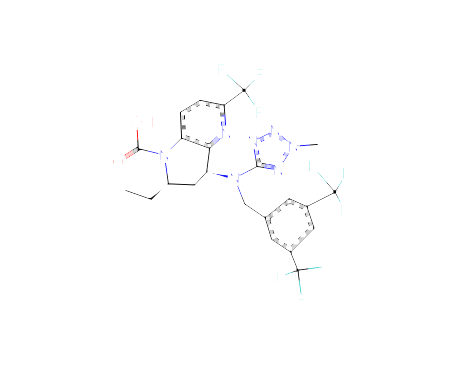 CC[C@@H]1C[C@H](N(Cc2cc(C(F)(F)F)cc(C(F)(F)F)c2)c2nnn(C)n2)c2nc(C(F)(F)F)ccc2N1C(=O)O